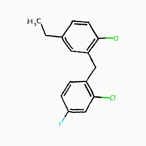 CCc1ccc(Cl)c(Cc2ccc(F)cc2Cl)c1